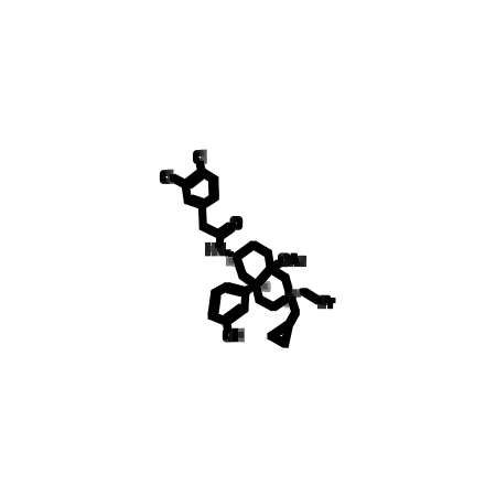 CC(=O)OC12CC[C@@H](NC(=O)Cc3ccc(Cl)c(Cl)c3)C[C@@]1(c1cccc(O)c1)CC[N@+](CC(C)C)(CC1CC1)C2